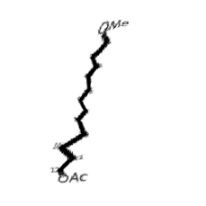 COCCCCCCCCCCCCOC(C)=O